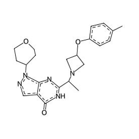 Cc1ccc(OC2CN(C(C)c3nc4c(cnn4C4CCOCC4)c(=O)[nH]3)C2)cc1